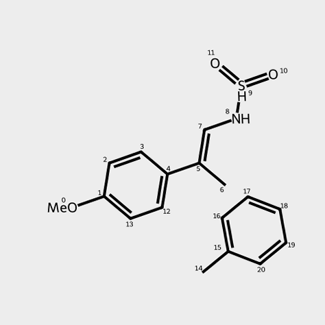 COc1ccc(C(C)=CN[SH](=O)=O)cc1.Cc1ccccc1